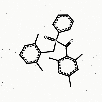 Cc1cc(C)c(C(=O)P(=O)(Cc2c(C)cccc2C)c2ccccc2)c(C)c1